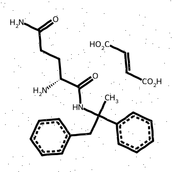 CC(Cc1ccccc1)(NC(=O)[C@H](N)CCC(N)=O)c1ccccc1.O=C(O)C=CC(=O)O